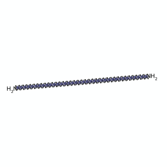 N/N=N/N=N/N=N/N=N/N=N/N=N/N=N/N=N/N=N/N=N/N=N/N=N/N=N/N=N/N=N/N=N/N=N/N=N/N=N/N=N/N=N/N=N/N=N/N=N/N=N/N=N/N=N/N=N/N=N/N=N/N=N/N=N/N=N/N=N/N=N/N=N/N